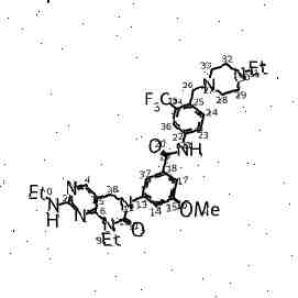 CCNc1ncc2c(n1)N(CC)C(=O)N(c1cc(OC)cc(C(=O)Nc3ccc(CN4CCN(CC)CC4)c(C(F)(F)F)c3)c1)C2